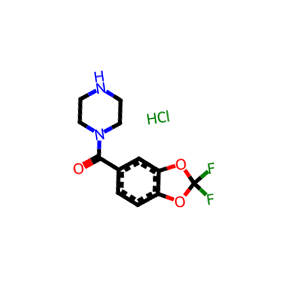 Cl.O=C(c1ccc2c(c1)OC(F)(F)O2)N1CCNCC1